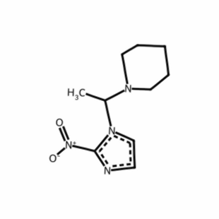 CC(N1CCCCC1)n1ccnc1[N+](=O)[O-]